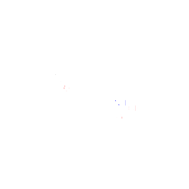 CC(C)(C)[Si](C)(C)OCCCCCCNC(=O)O